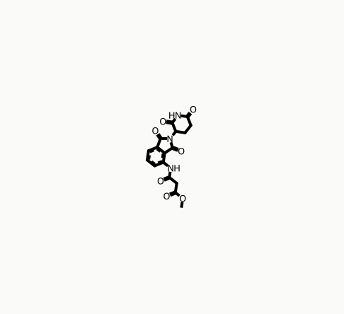 COC(=O)CC(=O)Nc1cccc2c1C(=O)N(C1CCC(=O)NC1=O)C2=O